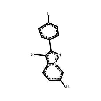 Cc1ccc2c(Br)c(-c3ccc(F)cc3)nn2c1